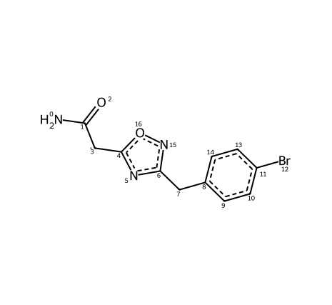 NC(=O)[CH]c1nc(Cc2ccc(Br)cc2)no1